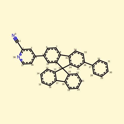 N#Cc1cc(-c2ccc3c(c2)C2(c4ccccc4-c4ccccc42)c2cc(-c4ccccc4)ccc2-3)ccn1